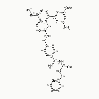 CC(=O)Oc1cc(N)cc(-c2cnc(NC(C)C)c(=O)n2CC(=O)NCc2ccc(C(=N)NC(=O)OCc3ccccc3)cc2)c1